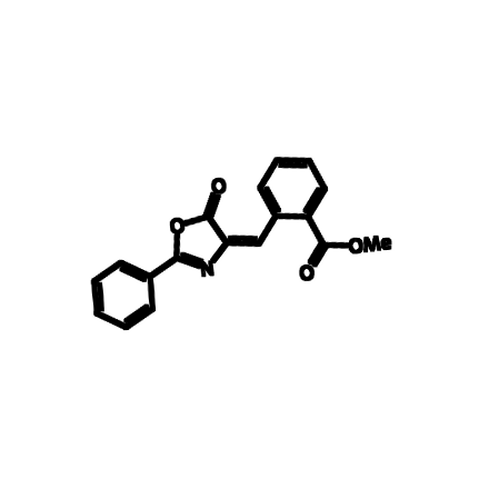 COC(=O)c1ccccc1/C=C1/N=C(c2ccccc2)OC1=O